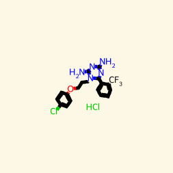 Cl.NC1=NC(c2ccccc2C(F)(F)F)N(CCCOc2ccc(Cl)cc2)C(N)=N1